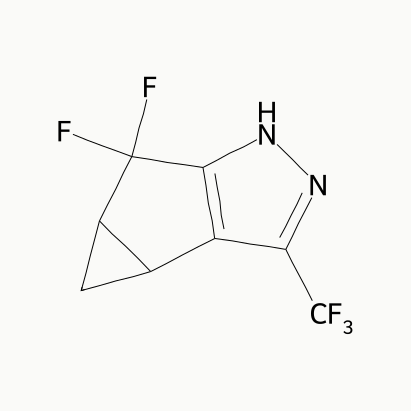 FC(F)(F)c1n[nH]c2c1C1CC1C2(F)F